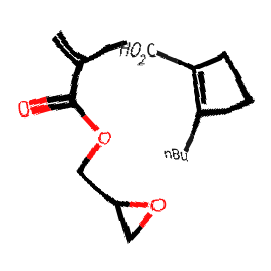 C=C(C)C(=O)OCC1CO1.CCCCC1=C(C(=O)O)CC1